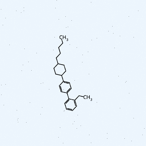 CCCCCC1CCC(c2ccc(-c3ccccc3CC)cc2)CC1